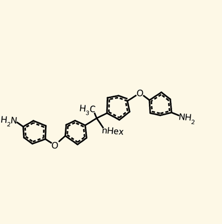 CCCCCCC(C)(c1ccc(Oc2ccc(N)cc2)cc1)c1ccc(Oc2ccc(N)cc2)cc1